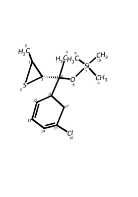 CC1S[C@H]1C(C)(O[Si](C)(C)C)C1C=CC=C(Cl)C1